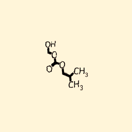 CC(C)COC(=O)OCO